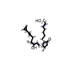 C[C@@H]1CC(=O)[C@H](CCCC/C=C/C(=O)O)[C@H]1/C=C/[C@@H](O)[C@@H](C)CC#CC1CC1